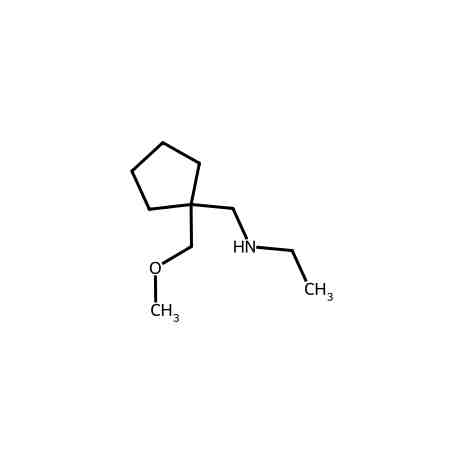 CCNCC1(COC)CCCC1